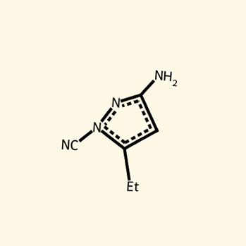 CCc1cc(N)nn1C#N